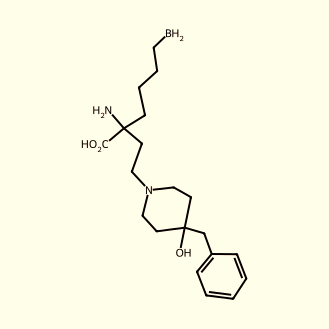 BCCCCC(N)(CCN1CCC(O)(Cc2ccccc2)CC1)C(=O)O